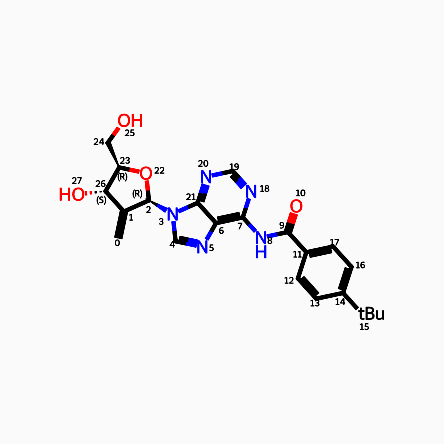 C=C1[C@H](n2cnc3c(NC(=O)c4ccc(C(C)(C)C)cc4)ncnc32)O[C@H](CO)[C@H]1O